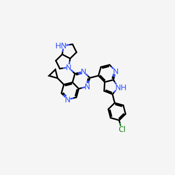 Clc1ccc(-c2cc3c(-c4nc(N5CCC6NCCC65)c5c(C6CC6)cncc5n4)ccnc3[nH]2)cc1